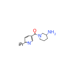 CC(C)c1ccc(C(=O)N2CCCC(N)C2)cn1